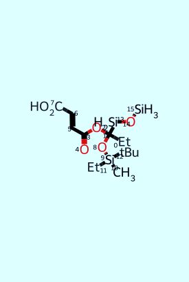 CCC(OC(=O)/C=C/C(=O)O)(O[Si](C)(CC)C(C)(C)C)[SiH2]O[SiH3]